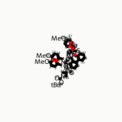 COc1ccc(CN(Cc2ccc(OC)cc2)S(=O)(=O)c2c(S(=O)(=O)C3CN(C(=O)OC(C)(C)C)C3)ccc(-c3cccc4sc(S(=O)(=O)CC[Si](C)(C)C)nc34)c2-c2nnn(Cc3ccc(OC)cc3)n2)cc1